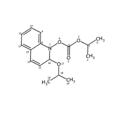 CC(C)OC(=O)ON1c2ccccc2C=CC1OC(C)C